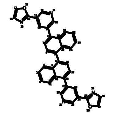 c1ccc2c(-c3ccc(-c4cncc(-c5ncco5)c4)c4ccccc34)ccc(-c3cncc(-c4ncco4)c3)c2c1